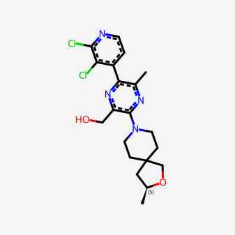 Cc1nc(N2CCC3(CC2)CO[C@@H](C)C3)c(CO)nc1-c1ccnc(Cl)c1Cl